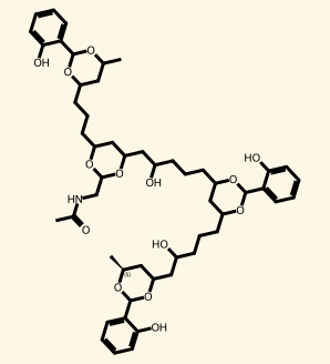 CC(=O)NCC1OC(CCCC2CC(C)OC(c3ccccc3O)O2)CC(CC(O)CCCC2CC(CCCC(O)CC3C[C@H](C)OC(c4ccccc4O)O3)OC(c3ccccc3O)O2)O1